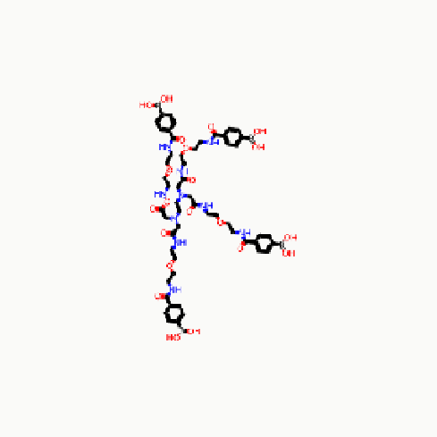 O=C(CN(CCN(CC(=O)NCCOCCNC(=O)c1ccc(B(O)O)cc1)CC(=O)ONCCOCCNC(=O)c1ccc(B(O)O)cc1)CC(=O)NCCOCCNC(=O)c1ccc(B(O)O)cc1)NCCOCCNC(=O)c1ccc(B(O)O)cc1